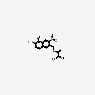 CC(C)C(=O)OCc1cc2ccc(O)c(O)c2cc1[N+](=O)[O-]